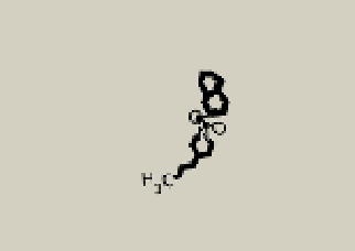 CCCCC1CCN(S(=O)(=O)c2ccc3ccccc3c2)CC1